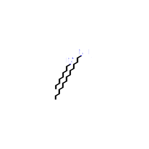 CCCCCCCCCCCCCCCN.CCCCCCCCCNC